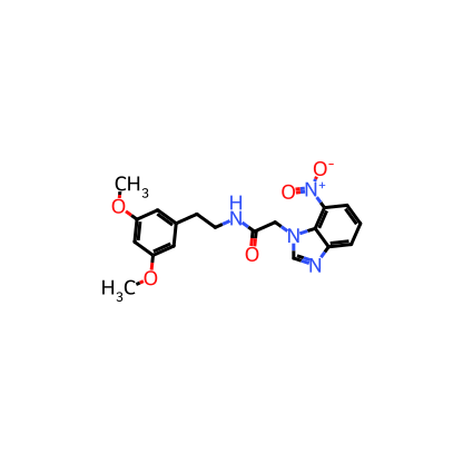 COc1cc(CCNC(=O)Cn2cnc3cccc([N+](=O)[O-])c32)cc(OC)c1